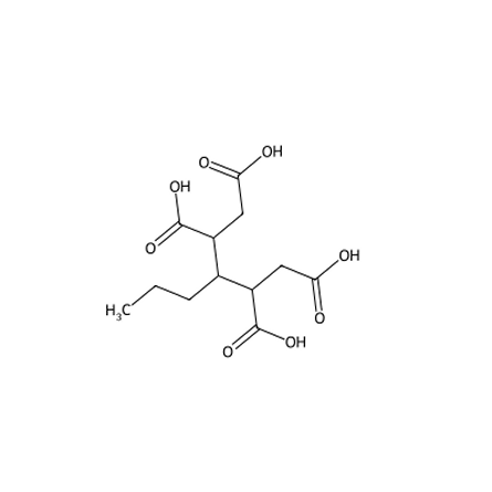 CCCC(C(CC(=O)O)C(=O)O)C(CC(=O)O)C(=O)O